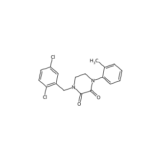 Cc1ccccc1N1CCN(Cc2cc(Cl)ccc2Cl)C(=O)C1=O